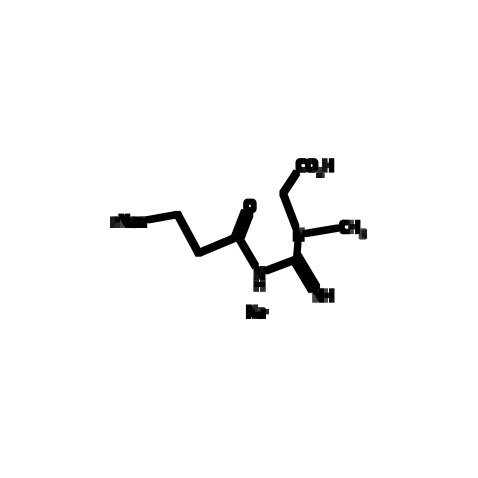 CCCCCCCCCCCC(=O)NC(=N)N(C)CC(=O)O.[Na]